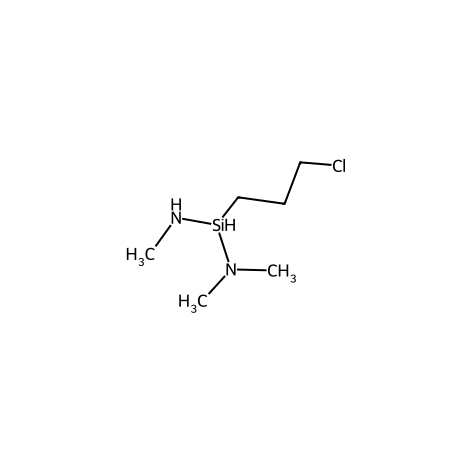 CN[SiH](CCCCl)N(C)C